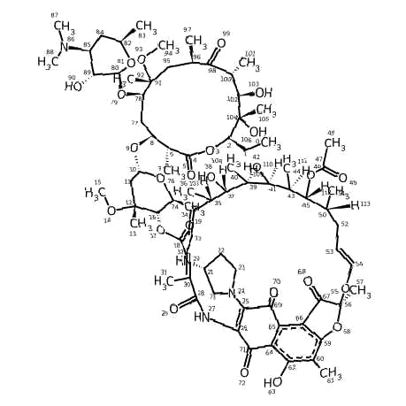 CC[C@H]1OC(=O)[C@H](C)[C@@H](O[C@H]2C[C@@](C)(OC)[C@@H](OC(=O)N[C@@H]3CCN(C4=C5NC(=O)/C(C)=C\C=C\[C@H](C)[C@H](O)[C@@H](C)[C@@H](O)[C@@H](C)[C@H](OC(C)=O)[C@H](C)C/C=C/O[C@@]6(C)Oc7c(C)c(O)c(c(c7C6=O)C4=O)C5=O)C3)[C@H](C)O2)C[C@@H](O[C@@H]2O[C@H](C)C[C@H](N(C)C)[C@H]2O)[C@](C)(OC)C[C@@H](C)C(=O)[C@H](C)[C@@H](O)[C@]1(C)O